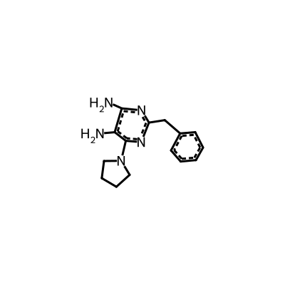 Nc1nc(Cc2ccccc2)nc(N2CCCC2)c1N